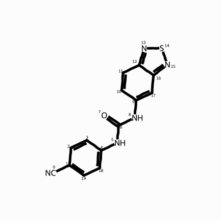 N#Cc1ccc(NC(=O)Nc2ccc3nsnc3c2)cc1